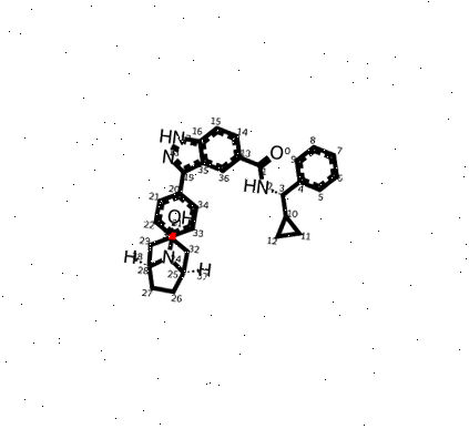 O=C(N[C@H](c1ccccc1)C1CC1)c1ccc2[nH]nc(-c3ccc(N4[C@@H]5CC[C@H]4C[C@H](O)C5)cc3)c2c1